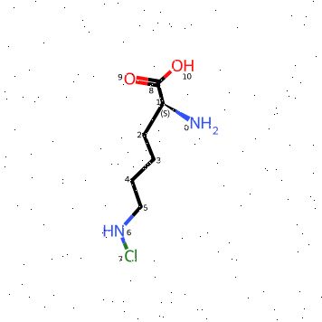 N[C@@H](CCCCNCl)C(=O)O